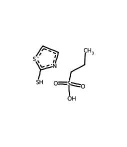 CCCS(=O)(=O)O.Sc1nccs1